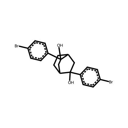 OC1(c2ccc(Br)cc2)CC2CCC1CC2(O)c1ccc(Br)cc1